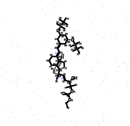 CCOC(=O)OC(C)(C)[C@@H](O)/C=C/[C@@](C)(F)[C@H]1CC[C@H]2/C(=C/C=C3C[C@@H](O[Si](C)(C)C(C)(C)C)C[C@H](O[Si](C)(C)C(C)(C)C)C3)CCC[C@@]21C